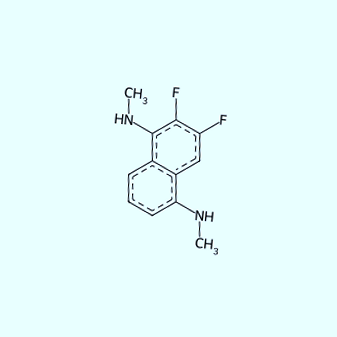 CNc1cccc2c(NC)c(F)c(F)cc12